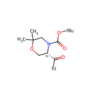 CCC(=O)[C@@H]1COC(C)(C)CN1C(=O)OC(C)(C)C